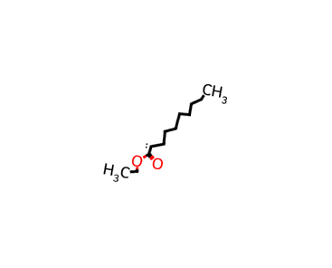 CCCCCCCC[C]C(=O)OCC